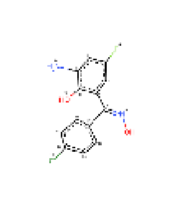 Nc1cc(F)cc(C(=NO)c2ccc(Cl)cc2)c1O